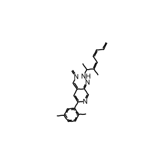 C=C/C=C\C=C(\C)C(C)N/N=C1/C=NC(c2cc(C)ccc2C)=C/C1=C/N=C